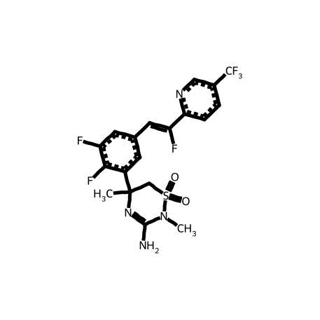 CN1C(N)=NC(C)(c2cc(C=C(F)c3ccc(C(F)(F)F)cn3)cc(F)c2F)CS1(=O)=O